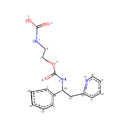 O=C(O)NCCOC(=O)NC(Cc1ccccn1)c1ccccc1